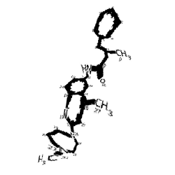 CC(=Cc1ccccc1)C(=O)Nc1ccc2nc(N3CCN(C)CC3)cc(C)c2c1